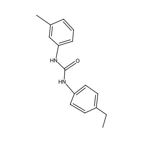 CCc1ccc(NC(=O)Nc2cccc(C)c2)cc1